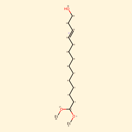 CCOC(CCCCCCCCC/C=C/CCO)OCC